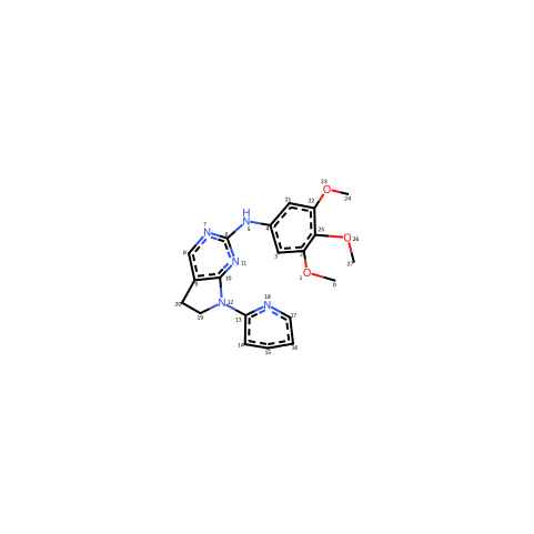 COc1cc(Nc2ncc3c(n2)N(c2ccccn2)CC3)cc(OC)c1OC